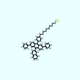 SCCCCCCCCCCc1ccc(-c2c3ccc(-c4ccccc4)cc3c(-c3ccc4ccccc4c3)c3ccc(-c4ccccc4)cc23)cc1